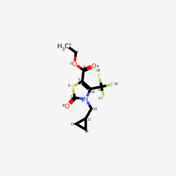 CCOC(=O)c1sc(=O)n(CC2CC2)c1C(F)(F)F